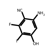 N#Cc1c(N)cc(O)c(I)c1F